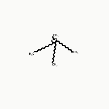 C[CH]c1nc(CCCCCCCCCCC)c(CCCCCCCCCCC)c(CCCCCCCCCCC)n1